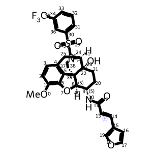 COc1ccc2c3c1O[C@@H]1[C@@H](NC(=O)/C=C/c4ccoc4)CC[C@]4(O)[C@H](C2)N(S(=O)(=O)c2cccc(C(F)(F)F)c2)CC[C@@]314